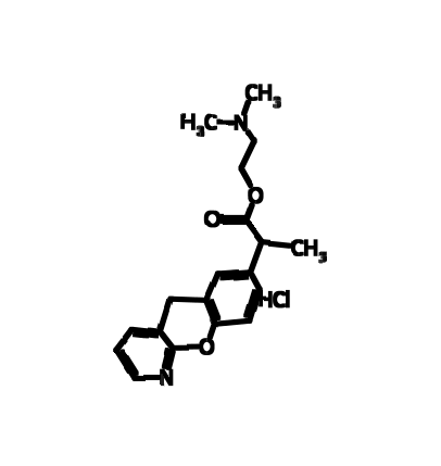 CC(C(=O)OCCN(C)C)c1ccc2c(c1)Cc1cccnc1O2.Cl